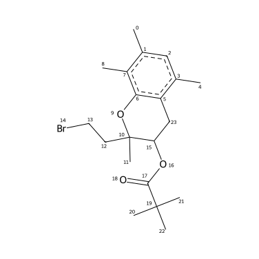 Cc1cc(C)c2c(c1C)OC(C)(CCBr)C(OC(=O)C(C)(C)C)C2